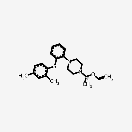 C=CO[C@@H](C)N1CCN(c2ccccc2Sc2ccc(C)cc2C)CC1